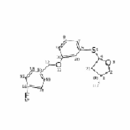 C[C@H]1COC(Sc2cccc(OCc3ccc(F)cc3)c2)C1